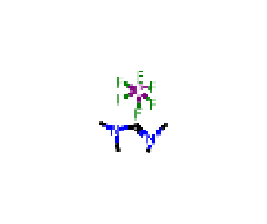 CN(C)C=[N+](C)C.F[P-](F)(F)(F)(F)F